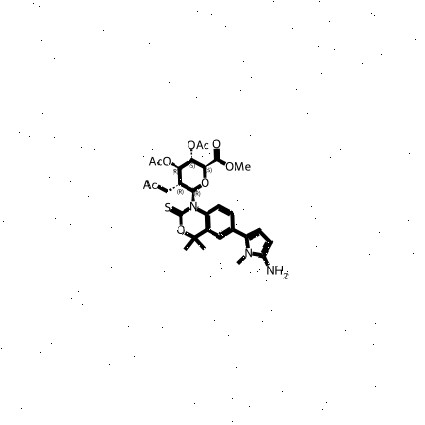 COC(=O)[C@H]1O[C@@H](N2C(=S)OC(C)(C)c3cc(-c4ccc(N)n4C)ccc32)[C@H](CC(C)=O)[C@@H](OC(C)=O)[C@@H]1OC(C)=O